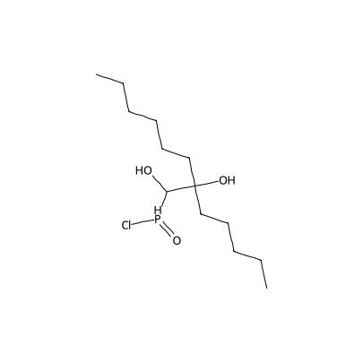 CCCCCCC(O)(CCCCC)C(O)[PH](=O)Cl